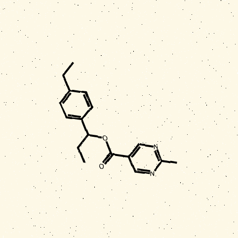 CCc1ccc(C(CC)OC(=O)c2cnc(C)nc2)cc1